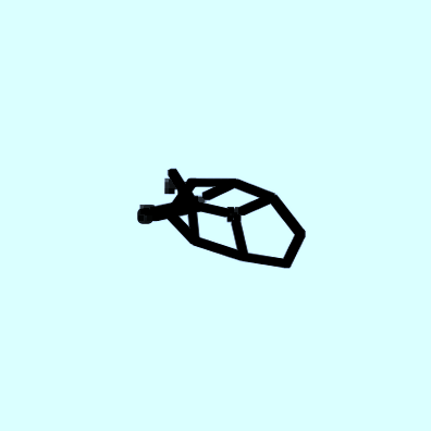 CC(C)C(=O)N1C2CCC1C1CCC2[N+]1(C)C(C)C